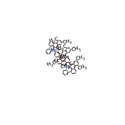 CCC(CC)(c1ccc(N(c2ccccc2-c2cccc(-c3c(C)cc(C)cc3C)c2)c2ccccc2-c2cccc(-c3c(C)cc(C)cc3C)c2)cc1)c1ccc(N(c2ccccc2-c2cccc(-c3c(C)cc(C)cc3C)c2)c2ccccc2-c2cccc(-c3c(C)cc(C)cc3C)c2)cc1